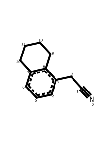 N#CCc1cccc2c1CCCC2